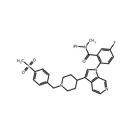 CC(C)N(C)C(=O)c1cc(F)ccc1-n1cc(C2CCN(Cc3ccc(S(C)(=O)=O)cc3)CC2)c2ccncc21